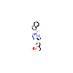 CCC1=C[C@@H](c2cnn3c(N[C@H]4CCc5ccccc54)ncnc23)C[C@@H]1O